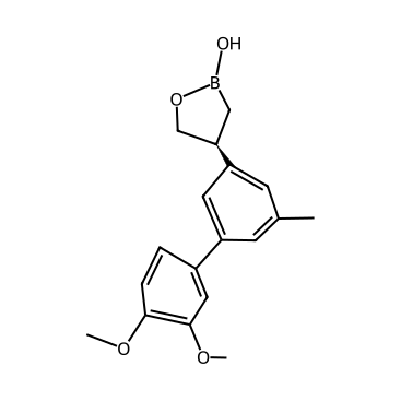 COc1ccc(-c2cc(C)cc([C@H]3COB(O)C3)c2)cc1OC